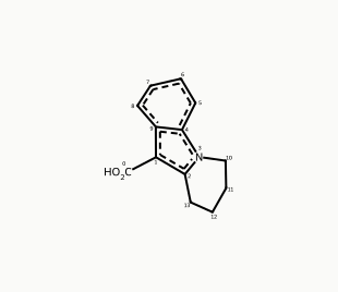 O=C(O)c1c2n(c3ccccc13)CCCC2